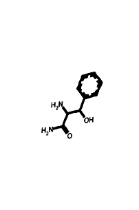 NC(=O)C(N)C(O)c1ccccc1